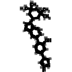 CC1(C)CC(n2nnc3cc(-c4ccc(-c5cn[nH]c5)cc4O)nnc32)CC(C)(C)N1